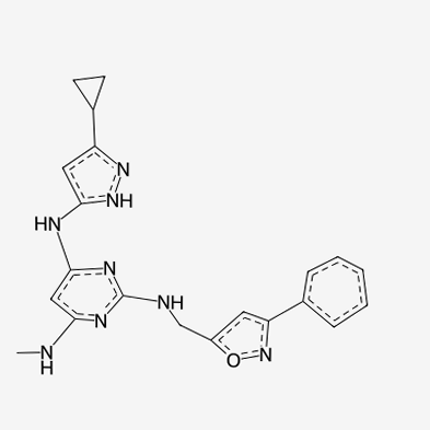 CNc1cc(Nc2cc(C3CC3)n[nH]2)nc(NCc2cc(-c3ccccc3)no2)n1